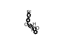 O=C(c1ccc(N2CCC(F)(F)CC2)cc1)N1CCN(c2nc3ccccc3c(=O)[nH]2)CC1